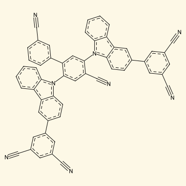 N#Cc1cc(C#N)cc(-c2ccc3c(c2)c2ccccc2n3-c2cc(-c3cccc(C#N)c3)c(-n3c4ccccc4c4cc(-c5cc(C#N)cc(C#N)c5)ccc43)cc2C#N)c1